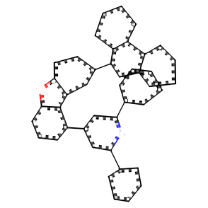 c1ccc(-c2cc(-c3cccc4oc5ccc(-c6cc7ccccc7c7ccccc67)cc5c34)cc(-c3ccccc3)n2)cc1